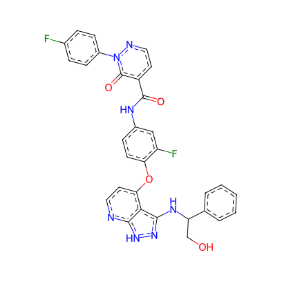 O=C(Nc1ccc(Oc2ccnc3[nH]nc(NC(CO)c4ccccc4)c23)c(F)c1)c1ccnn(-c2ccc(F)cc2)c1=O